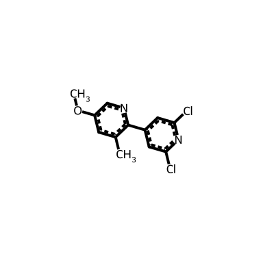 COc1cnc(-c2cc(Cl)nc(Cl)c2)c(C)c1